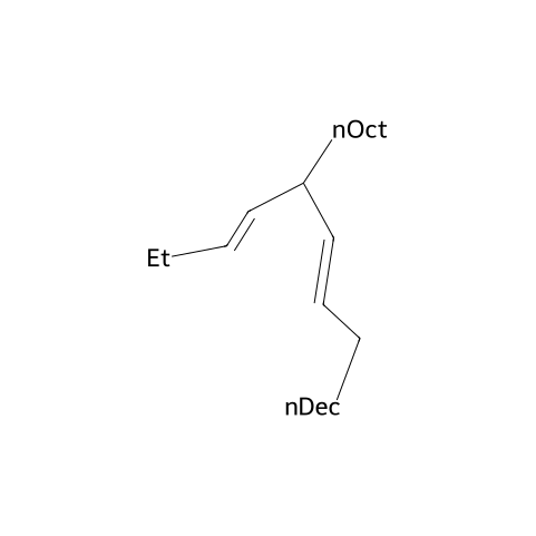 [CH2]CCCCCCCC(C=CCC)C=CCCCCCCCCCCC